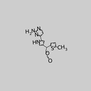 Cc1ccc(C(COC=O)c2c[nH]c(-c3ccnc(N)n3)c2)s1